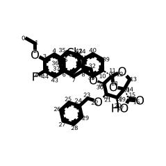 CCOc1ccc(Cc2cc([C@]34OC[C@](C(=O)O)(O3)[C@@H](C)[C@H](OCc3ccccc3)[C@H]4OCc3ccccc3)ccc2Cl)cc1F